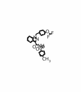 Cc1ccc(S(=O)(=O)NC(=O)c2nn(Cc3ccc(OC(F)F)cc3)c3ccccc23)cc1